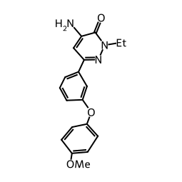 CCn1nc(-c2cccc(Oc3ccc(OC)cc3)c2)cc(N)c1=O